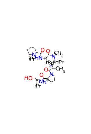 C/C(=C\[C@H](C(C)C)N(C)C(=O)[C@@H](NC(=O)C1CCCCN1C(C)C)C(C)(C)C)C(=O)N1CCC[C@H]1C(=O)N[C@@H](CO)C(C)C